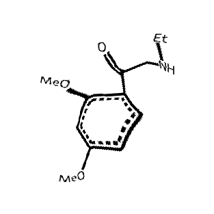 CCNC(=O)c1ccc(OC)cc1OC